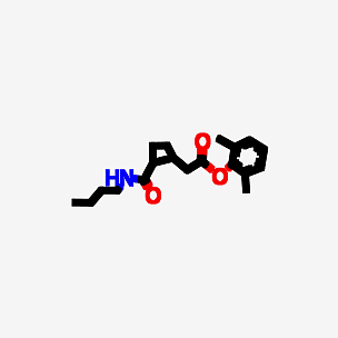 CCCCNC(=O)C1CCC1CC(=O)Oc1c(C)cccc1C